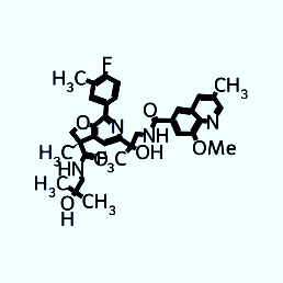 COc1cc(C(=O)NCC(O)(c2cc3c(c(-c4ccc(F)c(C)c4)n2)OC[C@]3(C)C(=O)NCC(C)(C)O)C(F)(F)F)cc2cc(C)cnc12